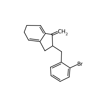 C=C1C2=CCCC=C2CC1Cc1ccccc1Br